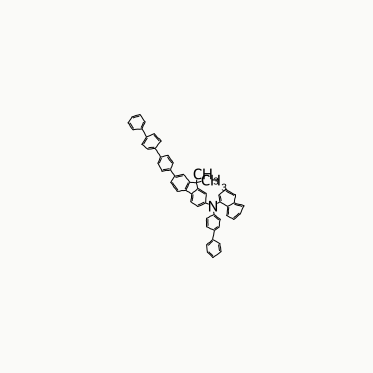 CC1(C)c2cc(-c3ccc(-c4ccc(-c5ccccc5)cc4)cc3)ccc2-c2ccc(N(c3ccc(-c4ccccc4)cc3)c3cccc4ccccc34)cc21